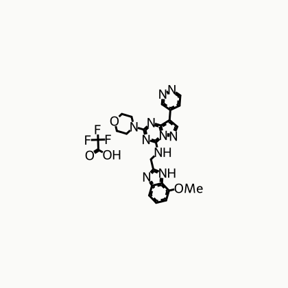 COc1cccc2nc(CNc3nc(N4CCOCC4)nc4c(-c5ccnnc5)cnn34)[nH]c12.O=C(O)C(F)(F)F